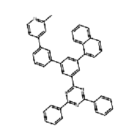 Cc1cc(-c2cccc(-c3cc(-c4nc(-c5ccccc5)nc(-c5ccccc5)n4)cc(-c4cccc5ccccc45)c3)c2)ccn1